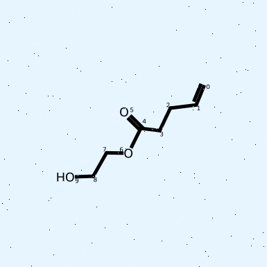 C=CCCC(=O)OCCO